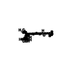 CCC(=O)OCc1cc(CCCOCCOCCOCCNC(=O)CCCCCN2C(=O)C=CC2=O)ccc1O[C@@H]1O[C@H](C(=O)O)[C@@H](O)[C@H](O)[C@H]1O